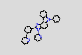 c1ccc(-n2c3ccccc3c3c4nc(-c5cccc(-c6ccccn6)c5)n(-c5ccccn5)c4ccc32)cc1